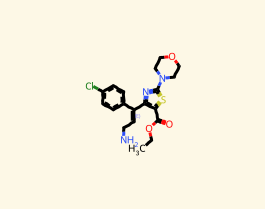 CCOC(=O)c1sc(N2CCOCC2)nc1/C(=C/CN)c1ccc(Cl)cc1